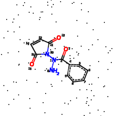 NN(C(=O)c1ccccc1)N1C(=O)C=CC1=O